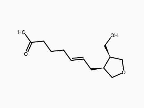 O=C(O)CCCC=CC[C@@H]1COC[C@@H]1CO